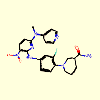 CN(c1ccncc1)c1ccc([N+](=O)[O-])c(Nc2ccc(N3CCCC(C(N)=O)C3)c(F)c2)n1